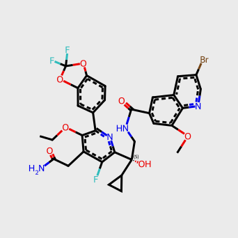 CCOc1c(-c2ccc3c(c2)OC(F)(F)O3)nc([C@@](O)(CNC(=O)c2cc(OC)c3ncc(Br)cc3c2)C2CC2)c(F)c1CC(N)=O